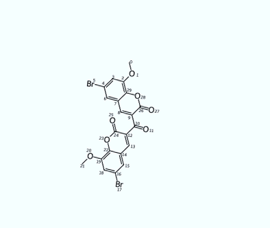 COc1cc(Br)cc2cc(C(=O)c3cc4cc(Br)cc(OC)c4oc3=O)c(=O)oc12